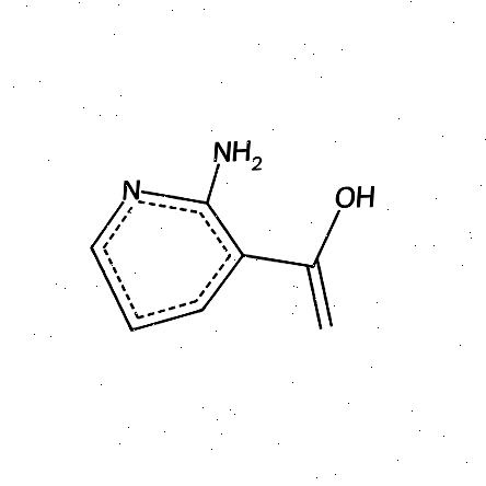 C=C(O)c1cccnc1N